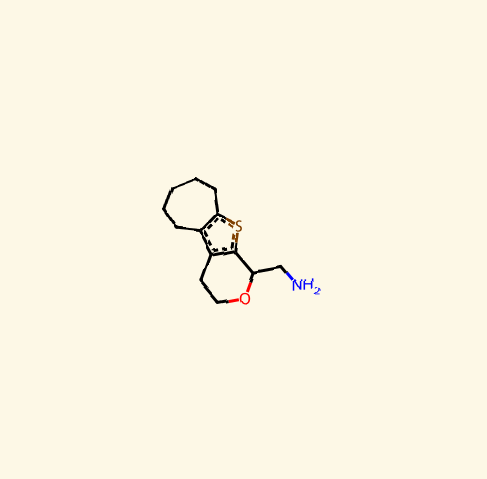 NCC1OCCc2c1sc1c2CCCCC1